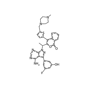 CC(c1oc(=O)c2ccccc2c1-c1ccc(CN2CCN(C)CC2)s1)n1nc(-c2cc(O)cc(F)c2)c2c(N)ncnc21